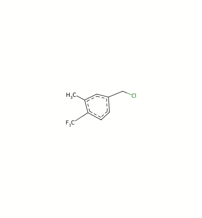 Cc1cc(CCl)ccc1C(F)(F)F